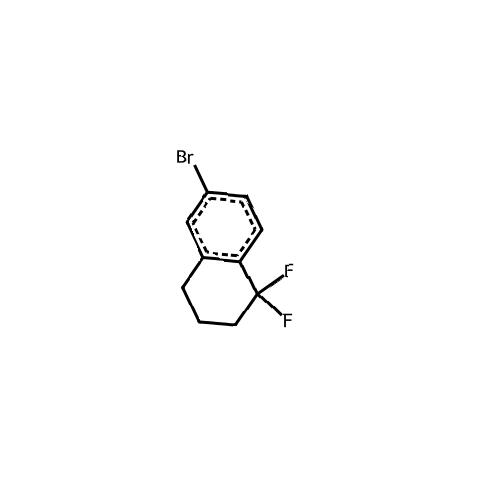 FC1(F)CCCc2cc(Br)ccc21